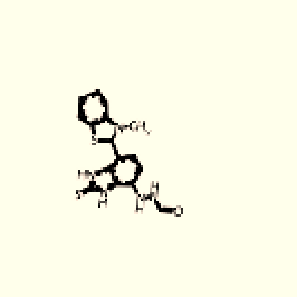 CN1c2ccccc2SC1c1ccc(NNC=O)c2[nH]c(=S)[nH]c12